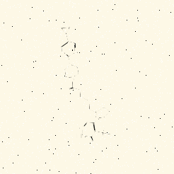 O=C(CCOCC1CCCN1c1cn[nH]c(=O)c1C(F)(F)F)N1CCN(c2ncc(C3CC3)cn2)CC1